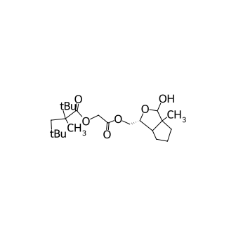 CC(C)(C)CC(C)(C(=O)OCC(=O)OC[C@@H]1OC(O)C2(C)CCCC12)C(C)(C)C